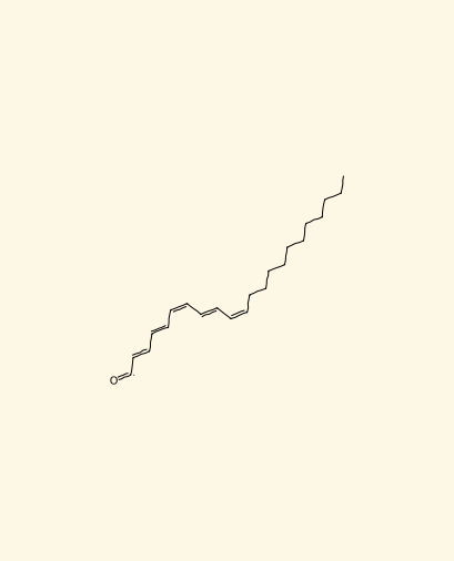 CCCCCCCCCCC\C=C/C=C/C=C\C=C\C=C\[C]=O